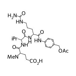 CNC(CCC(=O)O)C(=O)NC(C(=O)NC(CCCNC(N)=O)C(=O)Nc1ccc(COC(C)=O)cc1)C(C)C